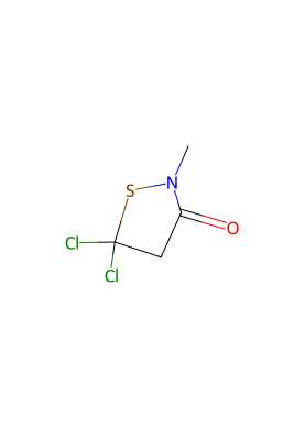 CN1SC(Cl)(Cl)CC1=O